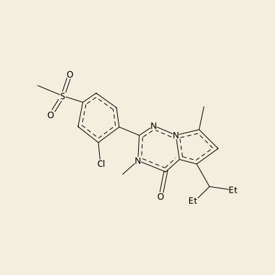 CCC(CC)c1cc(C)n2nc(-c3ccc(S(C)(=O)=O)cc3Cl)n(C)c(=O)c12